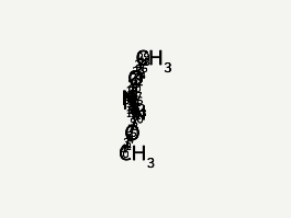 CCCCCCOCCCCc1ccc(-c2ccc(CCCCOCCCCCC)nn2)cn1